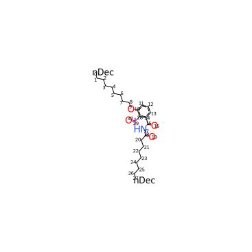 CCCCCCCCCCCCCCCCCCOc1cccc(C(=O)NC(=O)CCCCCCCCCCCCCCCCC)c1I=O